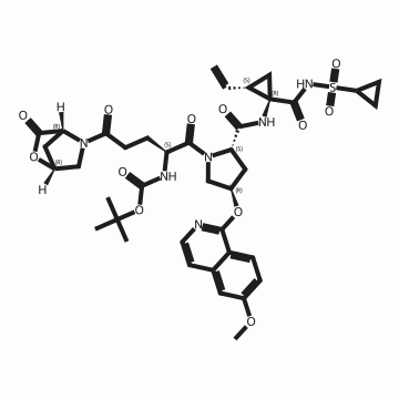 C=C[C@@H]1C[C@]1(NC(=O)[C@@H]1C[C@@H](Oc2nccc3cc(OC)ccc23)CN1C(=O)[C@H](CCC(=O)N1C[C@H]2C[C@@H]1C(=O)O2)NC(=O)OC(C)(C)C)C(=O)NS(=O)(=O)C1CC1